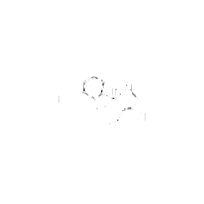 FC(F)(F)c1cccc(C2(Cl)NN=CC(Cl)=C2Cl)c1